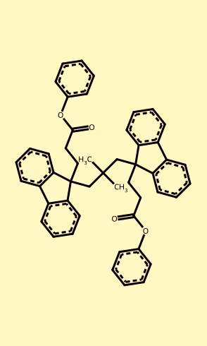 CC(C)(CC1(CCC(=O)Oc2ccccc2)c2ccccc2-c2ccccc21)CC1(CCC(=O)Oc2ccccc2)c2ccccc2-c2ccccc21